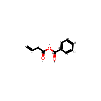 C=CCC(=O)OC(=O)c1ccccc1